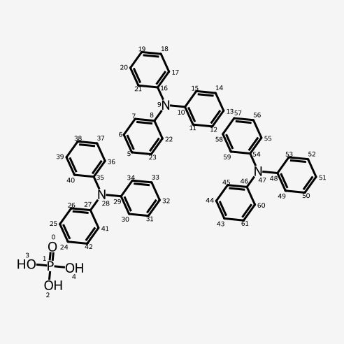 O=P(O)(O)O.c1ccc(N(c2ccccc2)c2ccccc2)cc1.c1ccc(N(c2ccccc2)c2ccccc2)cc1.c1ccc(N(c2ccccc2)c2ccccc2)cc1